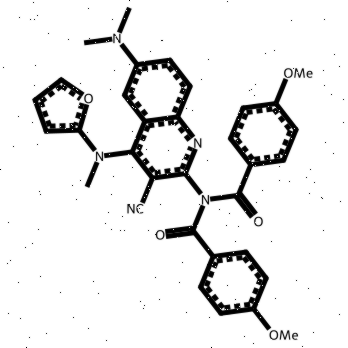 COc1ccc(C(=O)N(C(=O)c2ccc(OC)cc2)c2nc3ccc(N(C)C)cc3c(N(C)c3ccco3)c2C#N)cc1